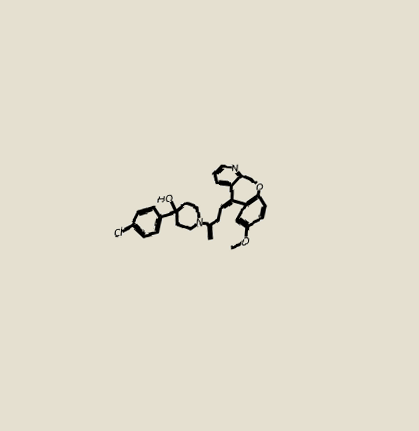 C=C(C/C=C1\c2cc(OC)ccc2OCc2ncccc21)N1CCC(O)(c2ccc(Cl)cc2)CC1